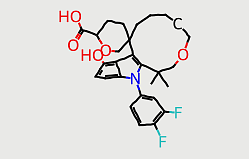 CC1(C)COCCCCCC2(CCC(C(=O)O)OC2)c2c1n(-c1ccc(F)c(F)c1)c1cccc(O)c21